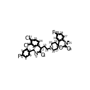 CN(Cc1ccc(F)cc1)C(=O)C(CCN1CCC2(CC1)OC(=O)N(C)c1ccc(F)cc12)c1ccc(Cl)c(Cl)c1